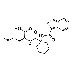 CSCC[C@H](NC(=O)C1(NC(=O)c2scc3ccccc23)CCCCC1)C(=O)O